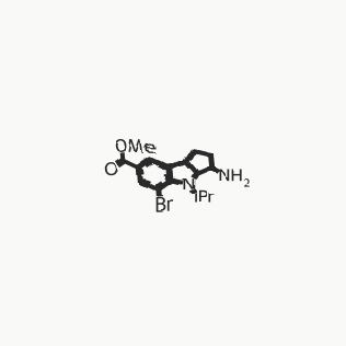 COC(=O)c1cc(Br)c2c(c1)C1CCC(N)C1N2C(C)C